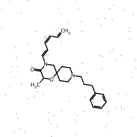 C=C/C=C\C=C\N1CC2(CCN(CCCc3ccccc3)CC2)OC(C)C1=O